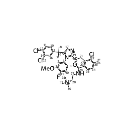 COc1cc(-n2c(C(C)(C)c3ccc(Cl)c(Cl)c3)cnc2SCc2c(C(=O)NCC[N+](C)(C)C)ccc(F)c2Cl)ccc1F